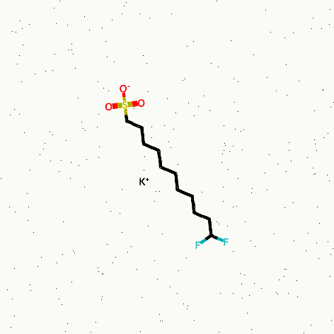 O=S(=O)([O-])CCCCCCCCCCC(F)F.[K+]